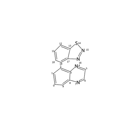 c1ccc2nccnc2c1.c1ccc2snnc2c1